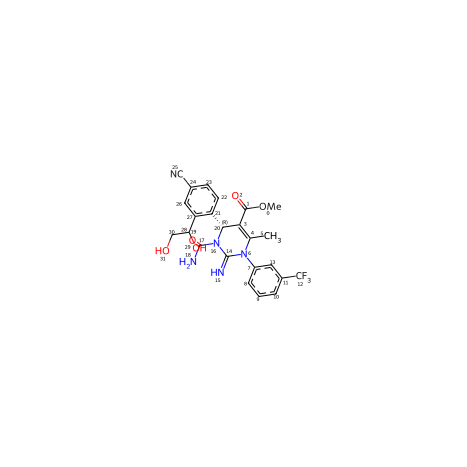 COC(=O)C1=C(C)N(c2cccc(C(F)(F)F)c2)C(=N)N(C(N)=O)[C@@H]1c1ccc(C#N)cc1C(O)CO